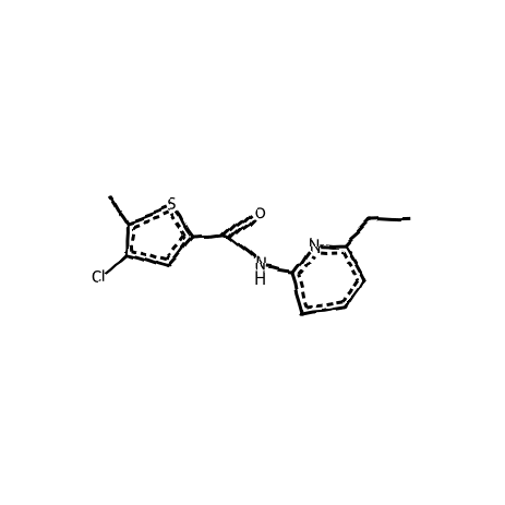 CCc1cccc(NC(=O)c2cc(Cl)c(C)s2)n1